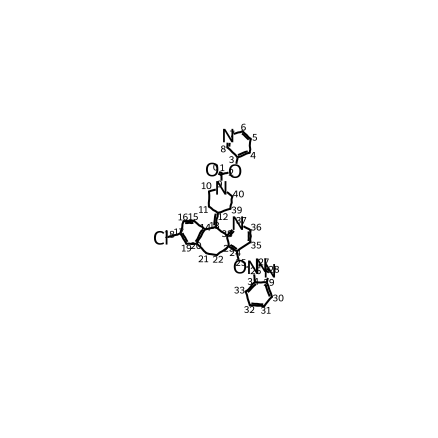 O=C(Oc1cccnc1)N1CCC(=C2c3ccc(Cl)cc3CCc3c(On4nnc5ccccc54)ccnc32)CC1